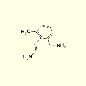 Cc1cccc(CN)c1/C=C/N